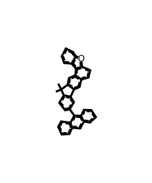 CC1(C)c2ccc(-c3c4ccccc4cc4ccccc34)cc2-c2cc3ccc4oc5ccccc5c4c3cc21